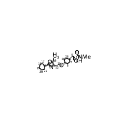 CNC(=O)N(O)Cc1ccc(OCCc2nc(-c3ccccc3)oc2C)cc1